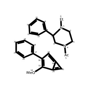 CCN1CCN(C(C)=O)CC1c1ccccc1.COc1c(-c2ccccc2)cc2cc1-2